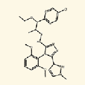 CCOC(c1ncc(Cl)cn1)C(C)SNc1nnc(C2C=CN(C)N2)n1-c1c(OC)cccc1OC